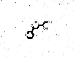 O=C(C[C@H](O)[C@H](O)CO)c1cccnc1